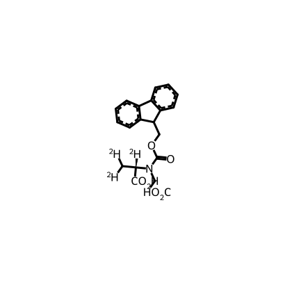 [2H]C([2H])[C@@]([2H])(C(=O)O)N(CC(=O)O)C(=O)OCC1c2ccccc2-c2ccccc21